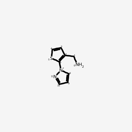 NCc1ccsc1-n1cccn1